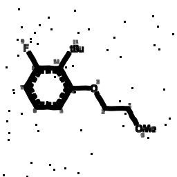 COCCOc1cccc(F)c1C(C)(C)C